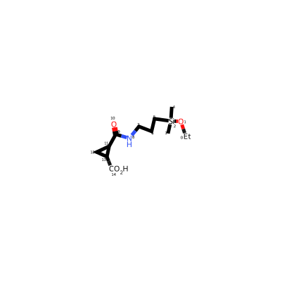 CCO[Si](C)(C)CCCNC(=O)C1CC1C(=O)O